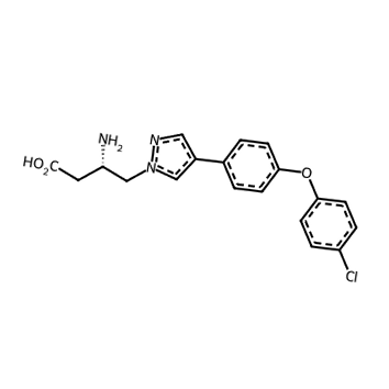 N[C@@H](CC(=O)O)Cn1cc(-c2ccc(Oc3ccc(Cl)cc3)cc2)cn1